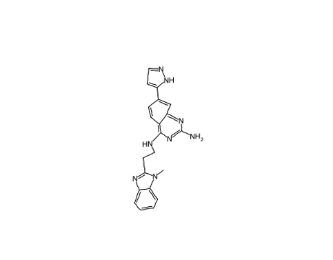 Cn1c(CCNc2nc(N)nc3cc(-c4ccn[nH]4)ccc23)nc2ccccc21